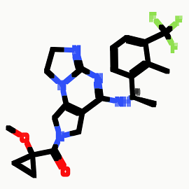 COC1(C(=O)N2CC3=C(C2)N2CCN=C2N=C3N[C@H](C)c2cccc(C(F)(F)F)c2C)CC1